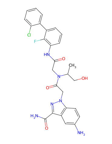 CC(CO)N(CC(=O)Nc1cccc(-c2ccccc2Cl)c1F)C(=O)Cn1nc(C(N)=O)c2cc(N)ccc21